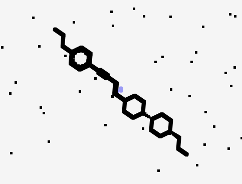 CCCc1ccc(C#C/C=C/C2CCC([C@H]3CC[C@H](CCC)CC3)CC2)cc1